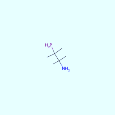 CC(C)(N)C(C)(C)P